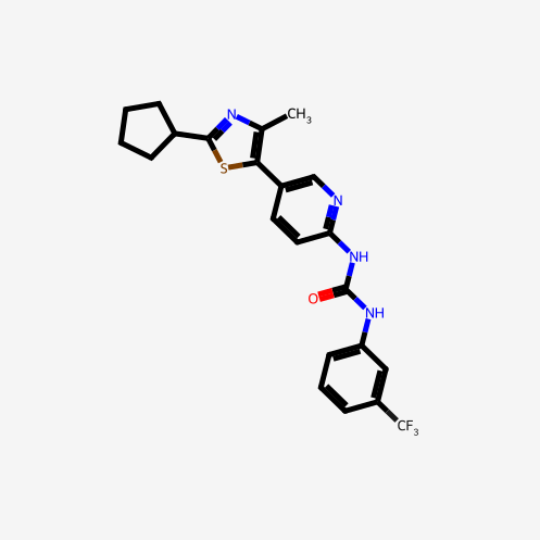 Cc1nc([C]2CCCC2)sc1-c1ccc(NC(=O)Nc2cccc(C(F)(F)F)c2)nc1